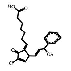 O=C(O)CCCCCC=C1C(=O)C(Cl)=CC1C=CC(O)c1ccccc1